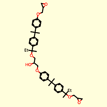 CCC(C)(OCC(O)COc1ccc(C(C)(C)c2ccc(C(C)(CC)OCC3CO3)cc2)cc1)c1ccc(C(C)(C)c2ccc(OCC3CO3)cc2)cc1